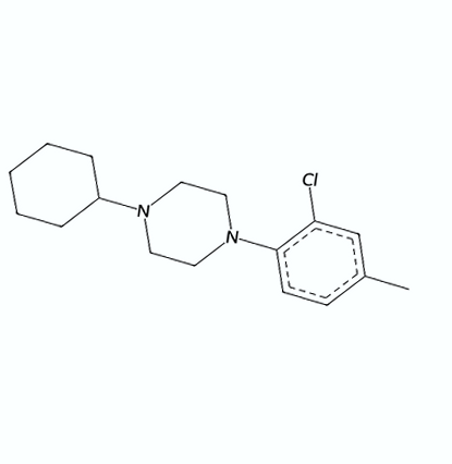 Cc1ccc(N2CCN(C3CCCCC3)CC2)c(Cl)c1